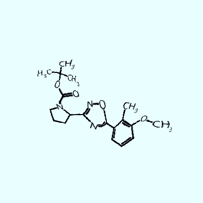 COc1cccc(-c2nc(C3CCCN3C(=O)OC(C)(C)C)no2)c1C